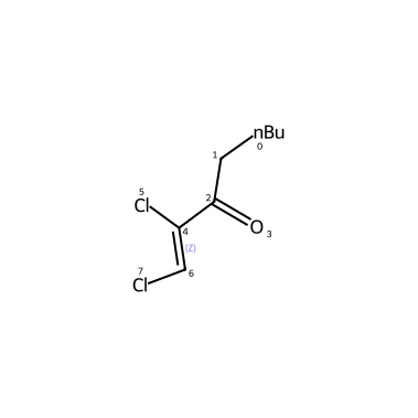 CCCCCC(=O)/C(Cl)=C/Cl